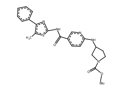 Cc1sc(NC(=O)c2ccc(NC3CCN(C(=O)OC(C)(C)C)C3)nc2)nc1-c1ccccc1